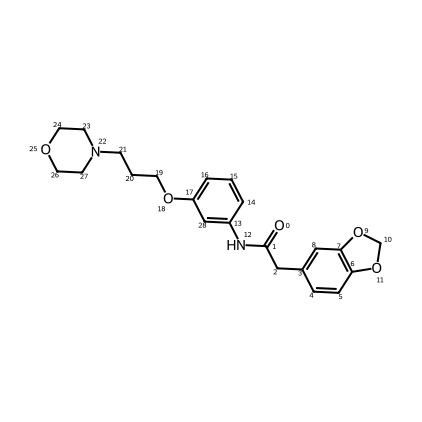 O=C(Cc1ccc2c(c1)OCO2)Nc1cccc(OCCCN2CCOCC2)c1